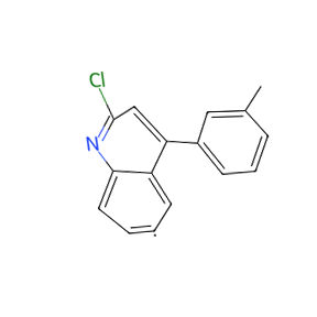 Cc1cccc(-c2cc(Cl)nc3cc[c]cc23)c1